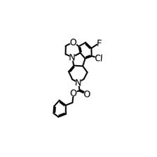 O=C(OCc1ccccc1)N1CC=C2C(CC1)c1c(Cl)c(F)cc3c1N2CCO3